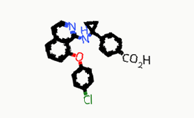 O=C(O)c1ccc(C2(Nc3nccc4cccc(Oc5ccc(Cl)cc5)c34)CC2)cc1